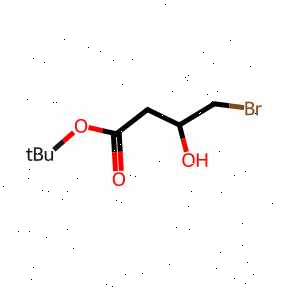 CC(C)(C)OC(=O)CC(O)CBr